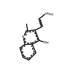 CCCCC/C=C/c1c(C)nc2ccccc2c1O